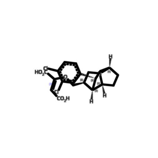 O=C(O)/C=C(\OC[C@H]1CN2[C@@H]3CC[C@H]2[C@@H]1[C@H](c1ccc(Cl)c(Cl)c1)C3)C(=O)O